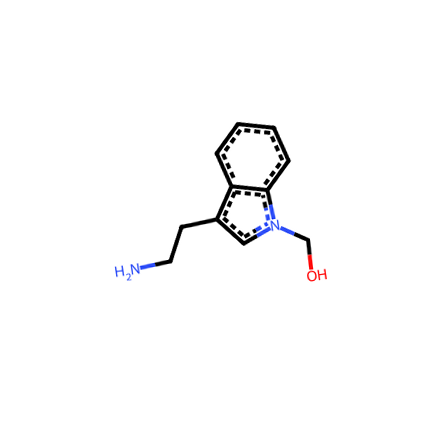 NCCc1cn(CO)c2ccccc12